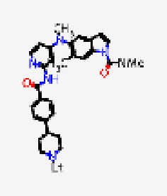 CCN1CCC(c2ccc(C(=O)Nc3cc(N(C)c4cc5ccn(C(=O)NC)c5cc4C)ccn3)cc2)CC1